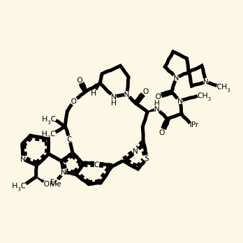 CCn1c(-c2cccnc2[C@H](C)OC)c2c3cc(ccc31)-c1csc(n1)C[C@H](NC(=O)C(C(C)C)N(C)C(=O)N1CCCC13CN(C)C3)C(=O)N1CCC[C@H](N1)C(=O)OCC(C)(C)C2